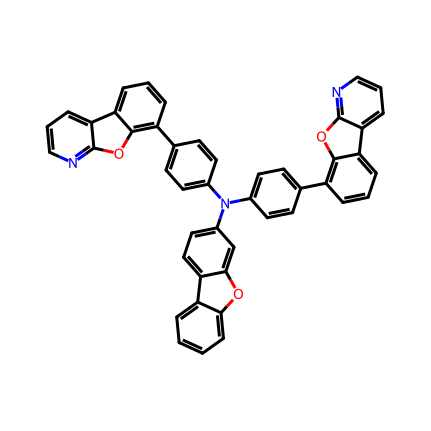 c1ccc2c(c1)oc1cc(N(c3ccc(-c4cccc5c4oc4ncccc45)cc3)c3ccc(-c4cccc5c4oc4ncccc45)cc3)ccc12